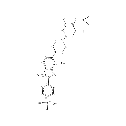 CCC1CC(N2CCC(c3ccc4c(nc(-c5ccc(S(C)(=O)=O)cc5)n4C)c3F)CC2)CC(C)N1CC1CC1